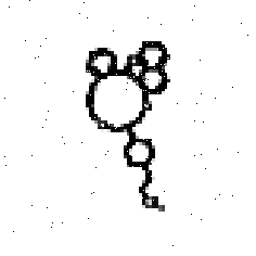 C=C1c2ccccc2/C=C\COCC(C2CCC(CCC)CC2)COc2ccc3ccccc3c21